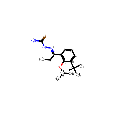 CC/C(=N\NC(N)=S)c1cccc(C(C)(C)C)c1O[SiH](C)C